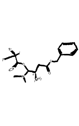 CN(C)C(OC(=O)C(F)(F)F)[C@H](N)CC(=O)OCc1ccccc1